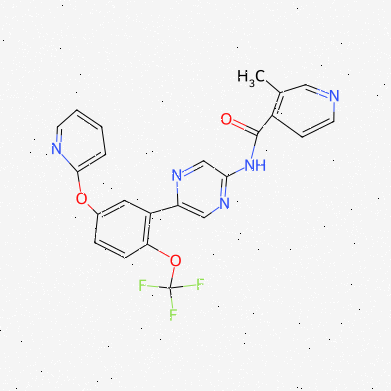 Cc1cnccc1C(=O)Nc1cnc(-c2cc(Oc3ccccn3)ccc2OC(F)(F)F)cn1